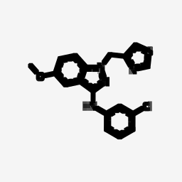 COc1ccc2c(c1)c(Nc1cccc(Cl)c1)nn2Cc1cscn1